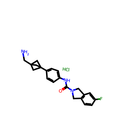 Cl.NCC12CC(c3ccc(NC(=O)N4Cc5ccc(F)cc5C4)cc3)(C1)C2